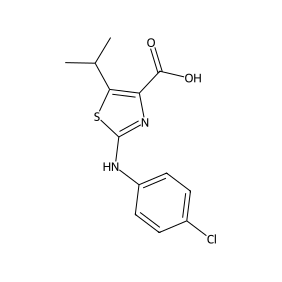 CC(C)c1sc(Nc2ccc(Cl)cc2)nc1C(=O)O